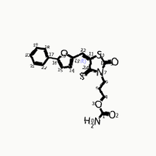 NC(=O)OCCCN1C(=O)S/C(=C/c2ccc(-c3ccccc3)o2)C1=S